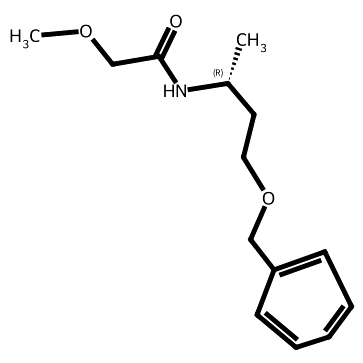 COCC(=O)N[C@H](C)CCOCc1ccccc1